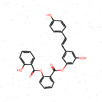 O=C(Oc1ccccc1C(=O)Oc1cc(O)cc(/C=C/c2ccc(O)cc2)c1)c1ccccc1O